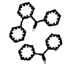 O=C(c1ccccc1)c1ccccc1.O=C(c1ccccc1)c1ccccc1-c1ccccc1